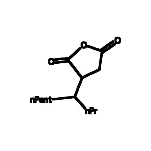 CCCCCC(CCC)C1CC(=O)OC1=O